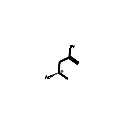 C=C(C[C@H](C)C(C)=O)C(C)C